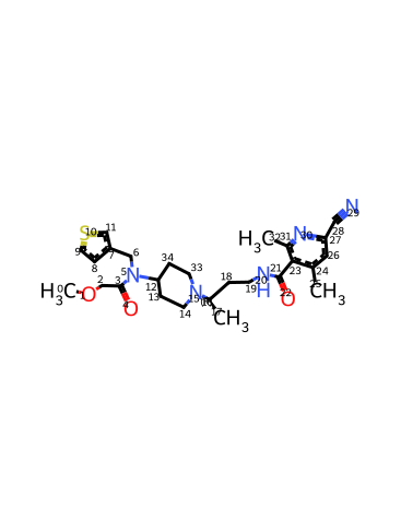 COCC(=O)N(Cc1ccsc1)C1CCN([C@H](C)CCNC(=O)c2c(C)cc(C#N)nc2C)CC1